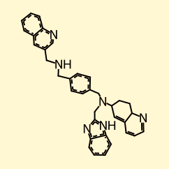 C1=CC2=CC(N(Cc3ccc(CNCc4cnc5ccccc5c4)cc3)Cc3nc4ccccc4[nH]3)CCC2N=C1